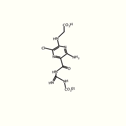 CCOC(=O)NC(=N)NC(=O)c1nc(Cl)c(NCC(=O)O)nc1N